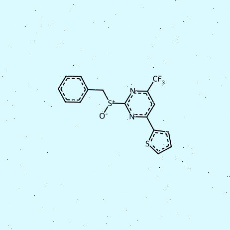 [O-][S+](Cc1ccccc1)c1nc(-c2cccs2)cc(C(F)(F)F)n1